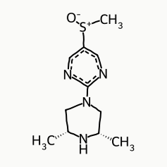 C[C@@H]1CN(c2ncc([S+](C)[O-])cn2)C[C@H](C)N1